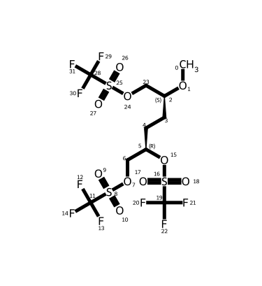 CO[C@@H](CC[C@H](COS(=O)(=O)C(F)(F)F)OS(=O)(=O)C(F)(F)F)COS(=O)(=O)C(F)(F)F